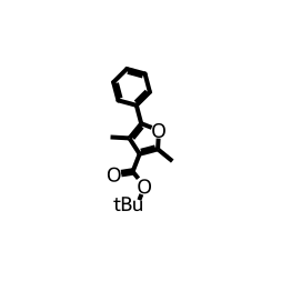 Cc1oc(-c2ccccc2)c(C)c1C(=O)OC(C)(C)C